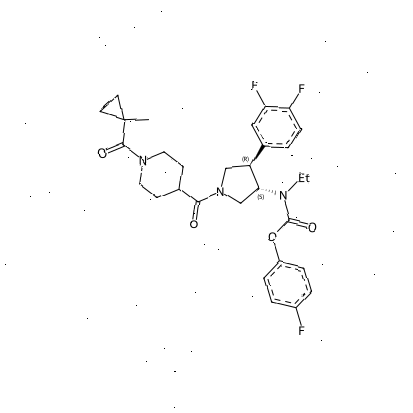 CCN(C(=O)Oc1ccc(F)cc1)[C@@H]1CN(C(=O)C2CCN(C(=O)C3(C)CC3)CC2)C[C@H]1c1ccc(F)c(F)c1